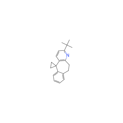 CC(C)(C)c1ccc2c(n1)CCc1ccccc1C21CC1